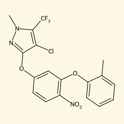 Cc1ccccc1Oc1cc(Oc2nn(C)c(C(F)(F)F)c2Cl)ccc1[N+](=O)[O-]